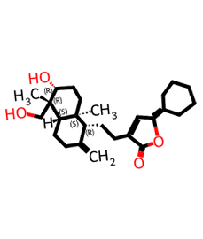 C=C1CC[C@@H]2[C@](C)(CO)[C@H](O)CC[C@@]2(C)[C@@H]1CCC1=CC(=C2CCCCC2)OC1=O